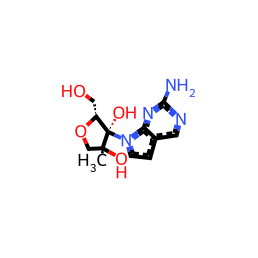 C[C@]1(O)CO[C@H](CO)[C@@]1(O)n1ccc2cnc(N)nc21